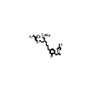 C=N/C=C(\C=N/CCC(CCCCc1ccc(CC(=C)N2CC(CC)C2)c(F)c1)CCNC)CC